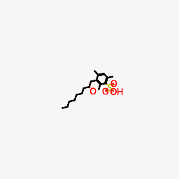 CCCCCCCC(=O)Cc1c(C)cc(C)c(S(=O)(=O)O)c1C